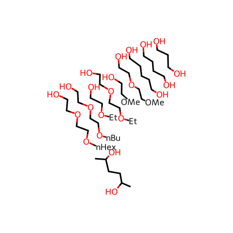 CC(O)CCC(C)O.CCCCCCOCCOCCO.CCCCOCCOCCO.CCOCCO.CCOCCOCCO.COCCO.COCCOCCO.OCCCCCO.OCCCCO.OCCCO